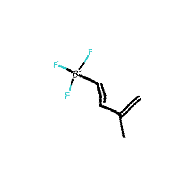 C=C(C)C=C[B-](F)(F)F